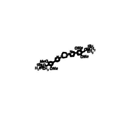 COc1cc(-c2ccc(N3CCCN(c4ccc(-c5cc(OC)c(CO[Si](C)(C)C(C)(C)C)c(OC)c5)cn4)CC3)nc2)cc(OC)c1CO[Si](C)(C)C(C)(C)C